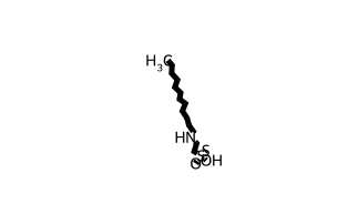 CCCCCCCCCCCCNCCS(=O)(O)=S